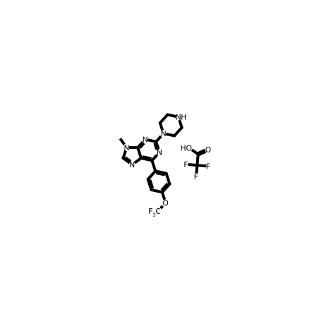 Cn1cnc2c(-c3ccc(OC(F)(F)F)cc3)nc(N3CCNCC3)nc21.O=C(O)C(F)(F)F